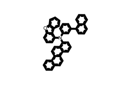 c1cc(-c2cccc3ccccc23)cc(N(c2cccc3c2ccc2c4ccccc4ccc32)c2cccc3oc4ccccc4c23)c1